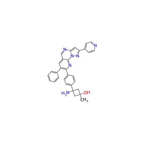 CC1(O)CC(N)(c2ccc(-c3nc4c(cnc5cc(-c6ccncc6)nn54)cc3-c3ccccc3)cc2)C1